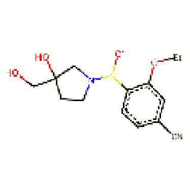 CCOc1cc(C#N)ccc1[S+]([O-])N1CCC(O)(CO)C1